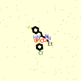 CCc1nnc(C(Cc2ccc(F)cc2)NS(=O)(=O)c2ccc(Cl)cc2)o1